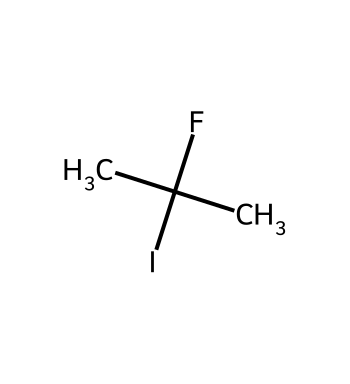 CC(C)(F)I